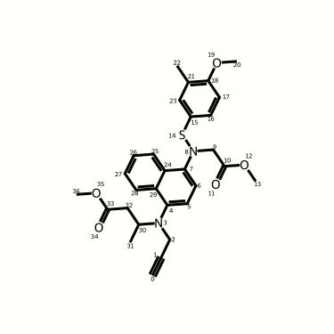 C#CCN(c1ccc(N(CC(=O)OC)Sc2ccc(OC)c(C)c2)c2ccccc12)C(C)CC(=O)OC